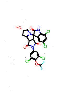 O=C1C2C3C[C@H](O)CN3C3(C(=O)Nc4c(Cl)cc(Cl)cc43)C2C(=O)N1c1cc(Cl)c(OC(F)F)c(Cl)c1